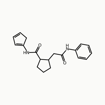 O=C(CC1CCCC1C(=O)NC1=CC=CC1)Nc1ccccc1